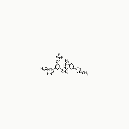 CN/C=C(\C=N)c1cc(OCC(F)(F)F)cc([C@@H](C)NC(=O)c2cc(N3CCN(C)CC3)ccc2C)c1